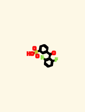 O=C(c1cccc(S(=O)(=O)O)c1)c1c(F)cccc1F